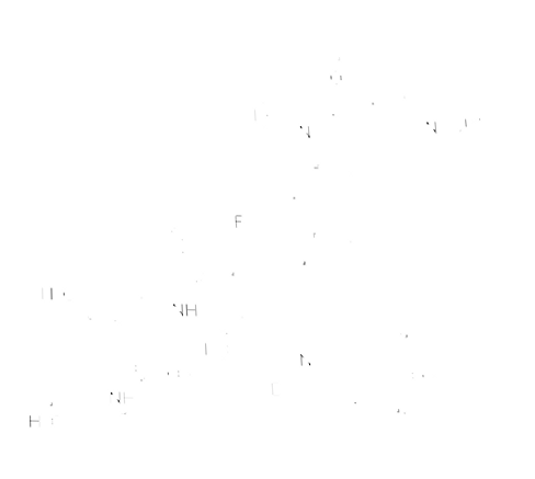 CCN(c1cc(-c2ccc3c(c2)N(C)C(=O)C32CCN(C(C)C)CC2)c(F)c(C(=O)NCc2c(C)cc(C)[nH]c2=O)c1C)C1CCOCC1